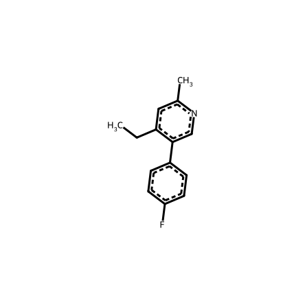 CCc1cc(C)ncc1-c1ccc(F)cc1